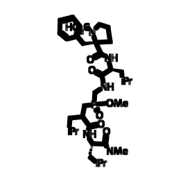 CNC(=O)[C@H](CC(C)C)NC(=O)C(CC(C)C)CP(=O)(CNC(=O)[C@H](CC(C)C)NC(=O)[C@@]1(Cc2ccccc2)CCCN1C(=O)O)OC